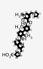 Cc1c(NC(=O)c2cc(CN3CCCC3)cn(C)c2=O)cccc1-c1cccc(Nc2nccc3cc(CN4CC[C@@H](C(=O)O)C4)cnc23)c1C